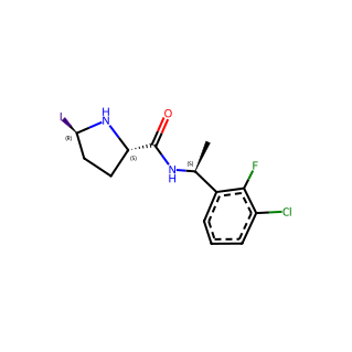 C[C@H](NC(=O)[C@@H]1CC[C@@H](I)N1)c1cccc(Cl)c1F